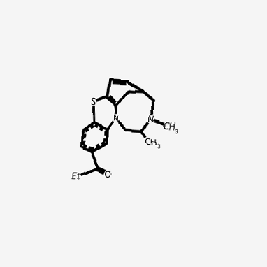 CCC(=O)c1ccc2c(c1)N1CC(C)N(C)CC3C=CC(=C1C3)S2